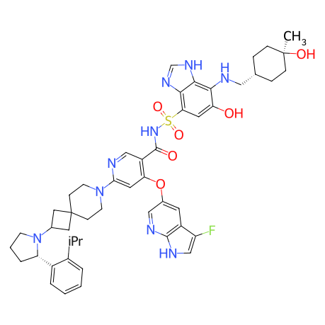 CC(C)c1ccccc1[C@@H]1CCCN1C1CC2(CCN(c3cc(Oc4cnc5[nH]cc(F)c5c4)c(C(=O)NS(=O)(=O)c4cc(O)c(NC[C@H]5CC[C@](C)(O)CC5)c5[nH]cnc45)cn3)CC2)C1